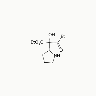 CCOC(=O)C(O)(C(=O)CC)C1CCCN1